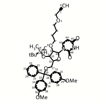 C#CCOCCCCOC1C(O[Si](C)(C)C(C)(C)C)C(COC(c2ccccc2)(c2ccc(OC)cc2)c2ccc(OC)cc2)OC1n1ccc(=O)[nH]c1=O